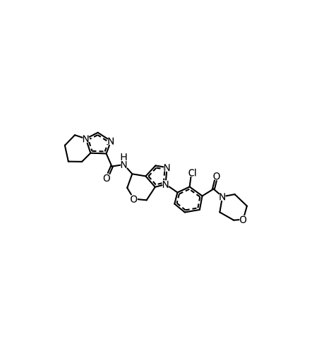 O=C(NC1COCc2c1cnn2-c1cccc(C(=O)N2CCOCC2)c1Cl)c1ncn2c1CCCC2